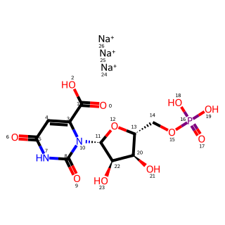 O=C(O)c1cc(=O)[nH]c(=O)n1[C@@H]1O[C@H](COP(=O)(O)O)[C@@H](O)[C@H]1O.[Na+].[Na+].[Na+]